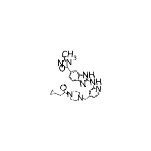 Cc1noc(-c2ccc3nc(Nc4cc(CN5CCN(C(=O)CC6CC6)CC5)ccn4)[nH]c3c2)n1